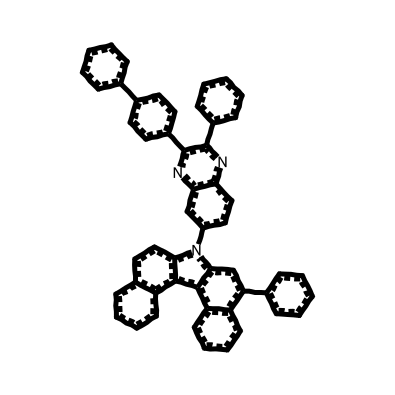 c1ccc(-c2ccc(-c3nc4cc(-n5c6ccc7ccccc7c6c6c7ccccc7c(-c7ccccc7)cc65)ccc4nc3-c3ccccc3)cc2)cc1